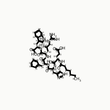 CCCCCCC(=O)N[C@@H](CCC(=O)O)C(=O)N[C@@H](Cc1c[nH]cn1)C(=O)N[C@H](Cc1ccccc1)C(=O)N[C@@H](CC(F)CNC(=N)N)C(=O)N[C@@H](Cc1c[nH]c2ccccc12)C(=O)O